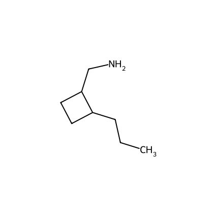 CCCC1CCC1CN